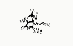 CCCCCn1c(SC)nc(=O)c2[nH]c(C(F)(F)F)nc21